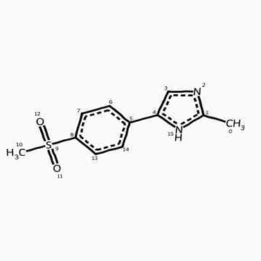 Cc1ncc(-c2ccc(S(C)(=O)=O)cc2)[nH]1